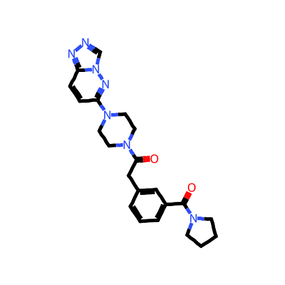 O=C(Cc1cccc(C(=O)N2CCCC2)c1)N1CCN(c2ccc3nncn3n2)CC1